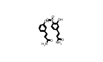 NC(=O)C=Cc1ccc([N+](=O)[O-])c(O)c1.NC(=O)C=Cc1cccc(O)c1